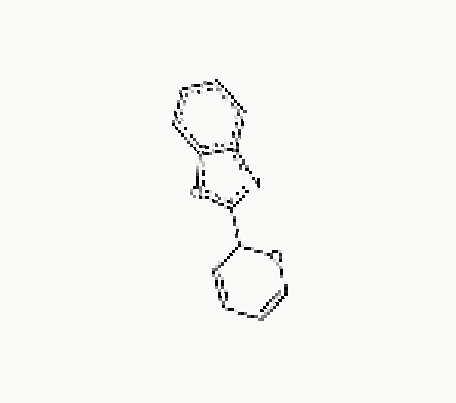 [c]1cccc2nc(C3C=CC=CO3)oc12